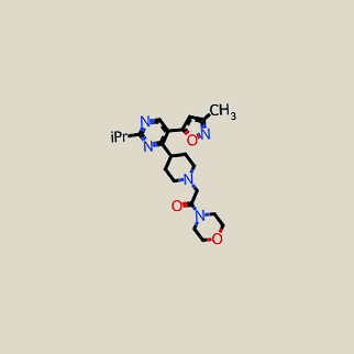 Cc1cc(-c2cnc(C(C)C)nc2C2CCN(CC(=O)N3CCOCC3)CC2)on1